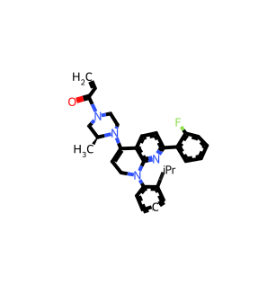 C=CC(=O)N1CCN(C2=CCN(c3ccccc3C(C)C)c3nc(-c4ccccc4F)ccc32)[C@@H](C)C1